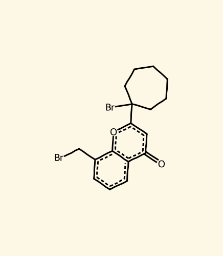 O=c1cc(C2(Br)CCCCCC2)oc2c(CBr)cccc12